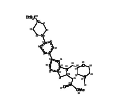 CCOC(=O)N1CCN(c2ccc(-c3ncc4c(n3)N(C[C@H]3CN(C)CCO3)C(CC(=O)OC)C4)cc2)CC1